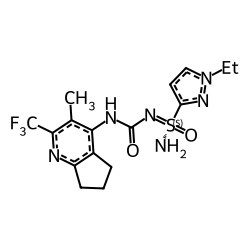 CCn1ccc([S@@](N)(=O)=NC(=O)Nc2c(C)c(C(F)(F)F)nc3c2CCC3)n1